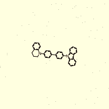 c1ccc2c(c1)CCCN2c1ccc(-c2ccc(-n3c4ccccc4c4ccccc43)cc2)cc1